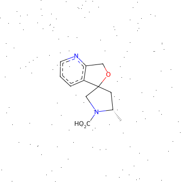 C[C@H]1CC2(CN1C(=O)O)OCc1ncccc12